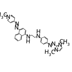 Cn1cc[n+](C)c1/N=N/c1ccc(NCCNc2ccc(/N=N/c3cc[n+](C)cc3)c3ccccc23)cc1